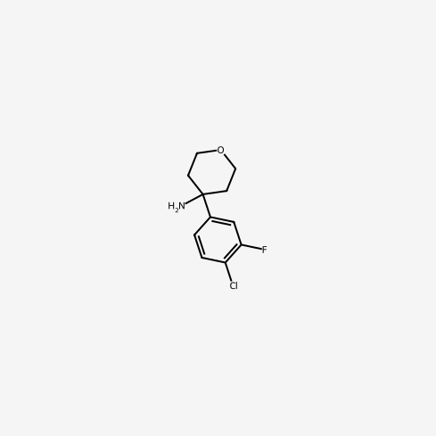 NC1(c2ccc(Cl)c(F)c2)CCOCC1